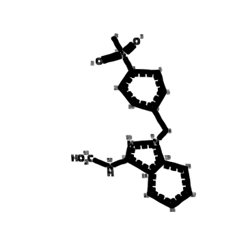 CS(=O)(=O)c1ccc(Cn2nc(NC(=O)O)c3ccccc32)cc1